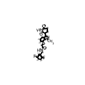 Cn1nc(C2CCC(=O)NC2=O)c2cccc(OCC(=O)NCc3cc(F)ccc3F)c21